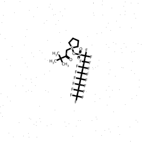 CC(C)(C)C(=O)CS1(OS(=O)(=O)C(F)(F)C(F)(F)C(F)(F)C(F)(F)C(F)(F)C(F)(F)C(F)(F)C(F)(F)F)CCCC1